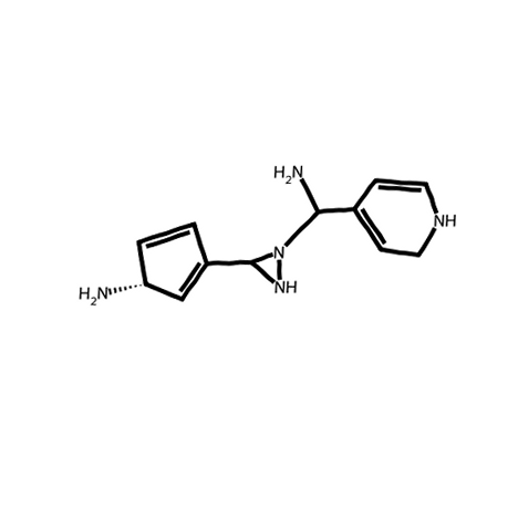 NC(C1=CCNC=C1)N1NC1C1=C[C@H](N)C=C1